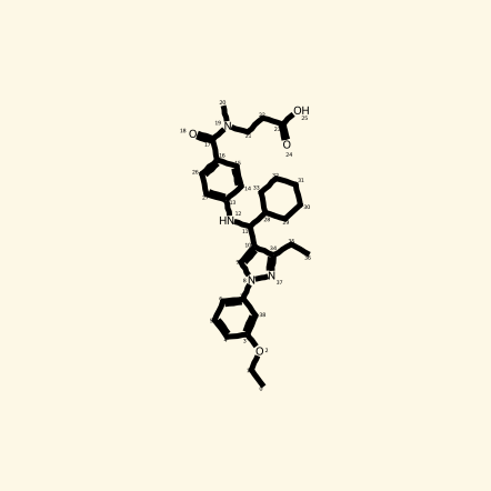 CCOc1cccc(-n2cc(C(Nc3ccc(C(=O)N(C)CCC(=O)O)cc3)C3CCCCC3)c(CC)n2)c1